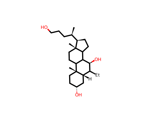 CCC1[C@H](O)C2C3CC[C@H]([C@H](C)CCCO)[C@@]3(C)CCC2[C@@]2(C)CC[C@@H](O)C[C@@H]12